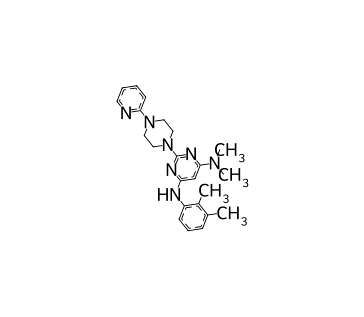 Cc1cccc(Nc2cc(N(C)C)nc(N3CCN(c4ccccn4)CC3)n2)c1C